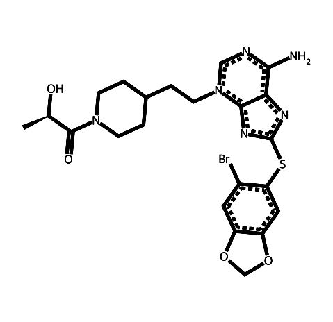 C[C@@H](O)C(=O)N1CCC(CCn2cnc(N)c3nc(Sc4cc5c(cc4Br)OCO5)nc2-3)CC1